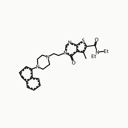 CCN(CC)C(=O)c1sc2ncn(CCN3CCN(c4cccc5ccccc45)CC3)c(=O)c2c1C